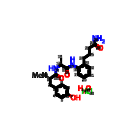 CN[C@@H](Cc1ccc(O)cc1)C(=O)N[C@@H](C)C(=O)Nc1ccccc1CCCC(N)=O.Cl.O